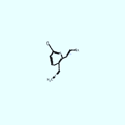 C=C=Cc1ccc(Cl)nc1/C=C/CC